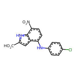 O=C(O)c1cc2c(Nc3ccc(Cl)cc3)ccc([N+](=O)[O-])c2[nH]1